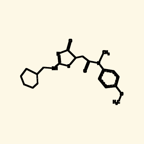 COc1ccc(N(C)C(=O)CC2SC(NCC3CCCCC3)=NC2=O)cc1